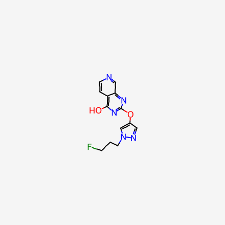 Oc1nc(Oc2cnn(CCCF)c2)nc2cnccc12